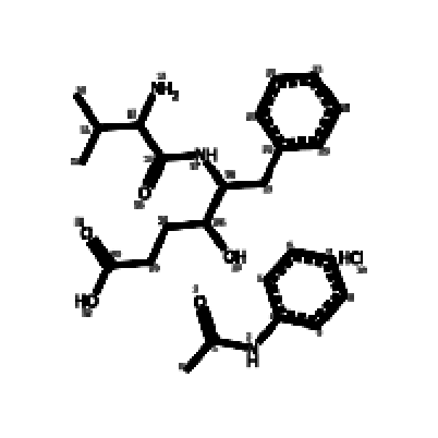 CC(=O)Nc1ccccc1.CC(C)C(N)C(=O)NC(Cc1ccccc1)C(O)CCC(=O)O.Cl